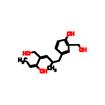 C/C=C(O)\C(=C/C(C)Cc1ccc(O)c(CO)c1)CO